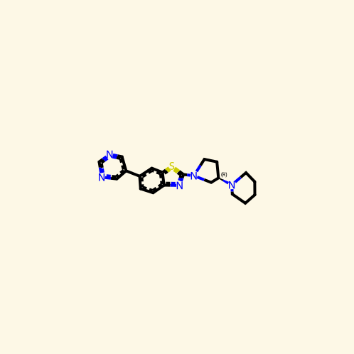 c1ncc(-c2ccc3nc(N4CC[C@@H](N5CCCCC5)C4)sc3c2)cn1